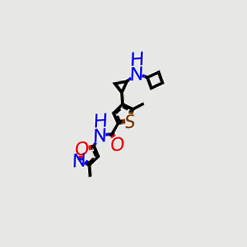 Cc1cc(NC(=O)c2cc(C3CC3NC3CCC3)c(C)s2)on1